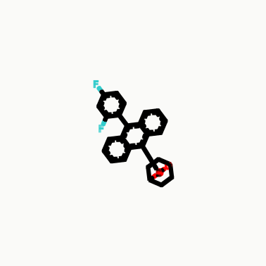 Fc1ccc(-c2c3ccccc3c(B3OC4CCC(CC4)O3)c3ccccc23)c(F)c1